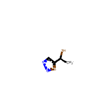 [CH2]C(S)c1cnns1